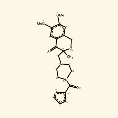 COc1cc2c(cc1OC)C(=O)C(C)(CN1CCN(C(=O)c3ccco3)CC1)OC2